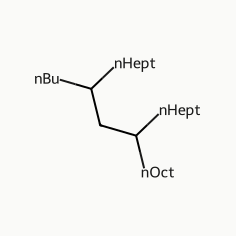 CCCCCCCCC(CCCCCCC)CC(CCCC)CCCCCCC